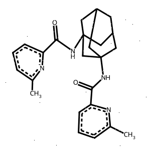 Cc1cccc(C(=O)NC23CC4CC(C2)CC(NC(=O)c2cccc(C)n2)(C4)C3)n1